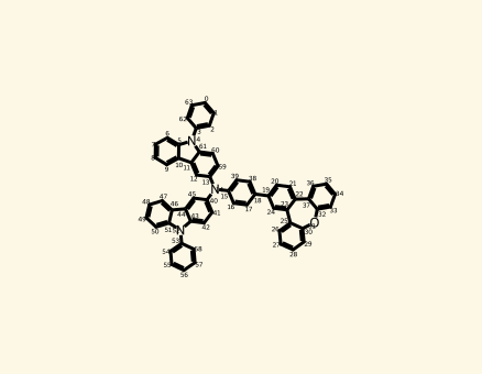 c1ccc(-n2c3ccccc3c3cc(N(c4ccc(-c5ccc6c(c5)-c5ccccc5Oc5ccccc5-6)cc4)c4ccc5c(c4)c4ccccc4n5-c4ccccc4)ccc32)cc1